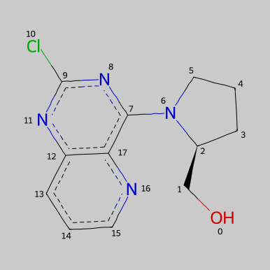 OC[C@@H]1CCCN1c1nc(Cl)nc2cccnc12